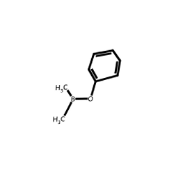 CB(C)Oc1ccccc1